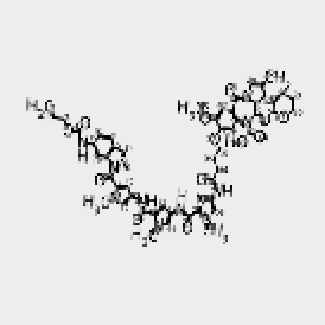 C=CCOC(=O)Nc1ccc2cnn(C(=O)c3cc(NC(=O)c4cc(NC(=O)c5nc(NC(=O)CCCOc6cc7c(cc6OC)C(=O)N6CC(=C)CC6C(OC6CCCCO6)N7C(=O)O)cn5C)cn4C)cn3C)c2c1